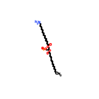 CCCCCCCCCCCCCC(=O)O[C@@H](COP=O)COC(=O)CCCCCCCCCCCCCCN